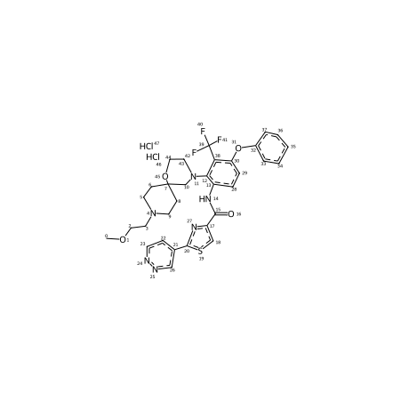 COCCN1CCC2(CC1)CN(c1c(NC(=O)c3csc(-c4ccnnc4)n3)ccc(Oc3ccccc3)c1C(F)(F)F)CCO2.Cl.Cl